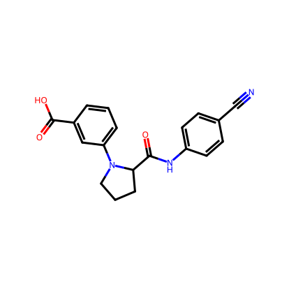 N#Cc1ccc(NC(=O)C2CCCN2c2cccc(C(=O)O)c2)cc1